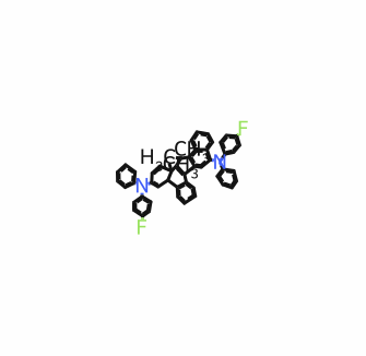 CC1(C)C2=C(c3ccccc3C3C=C(N(c4ccccc4)c4ccc(F)cc4)C=CC23C)c2cc(N(c3ccccc3)c3ccc(F)cc3)c3ccccc3c21